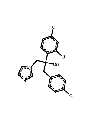 OC(Cc1ccc(Cl)cc1)(Cn1ccnc1)c1ccc(Cl)cc1Cl